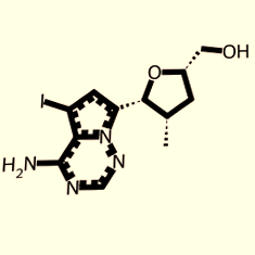 C[C@H]1C[C@@H](CO)O[C@H]1c1cc(I)c2c(N)ncnn12